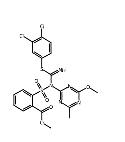 COC(=O)c1ccccc1S(=O)(=O)N(C(=N)Sc1ccc(Cl)c(Cl)c1)c1nc(C)nc(OC)n1